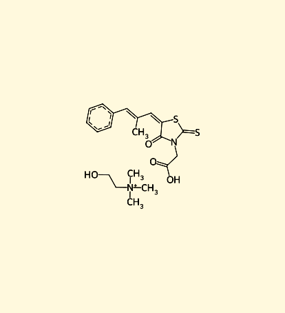 CC(=C\c1ccccc1)/C=C1/SC(=S)N(CC(=O)O)C1=O.C[N+](C)(C)CCO